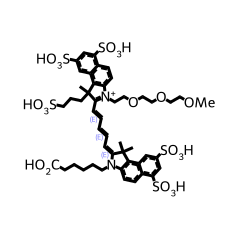 COCCOCCOCC[N+]1=C(/C=C/C=C/C=C2/N(CCCCCC(=O)O)c3ccc4c(S(=O)(=O)O)cc(S(=O)(=O)O)cc4c3C2(C)C)C(C)(CCCS(=O)(=O)O)c2c1ccc1c(S(=O)(=O)O)cc(S(=O)(=O)O)cc21